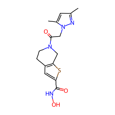 Cc1cc(C)n(CC(=O)N2CCc3cc(C(=O)NO)sc3C2)n1